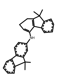 CC1(C)C2=C(C(Nc3ccc4c(c3)C(C)(C)c3ccccc3-4)=CCC2)c2ccccc21